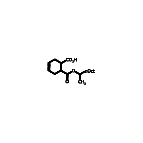 CCCCCCCCC(C)OC(=O)C1CC=CCC1C(=O)O